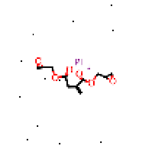 C=C(CC(=O)OCC1CO1)C(=O)OCC1CO1.P